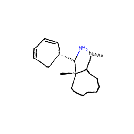 CNC1CCCC[C@]1(C)C(N)[C@H]1C=CC=CC1